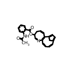 CC(=O)Nc1ccccc1C(=O)OC1C=NC2=C(C=CC1)C1=CC=C(C=CC=C2)C1